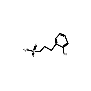 NS(=O)(=O)CCCc1ccccc1O